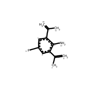 C=C(C)c1cc(F)cc(C(=C)C)c1N